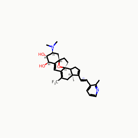 Cc1ncccc1/C=C/C1=CCC2[C@]1(C)CC(C(F)(F)F)=C1C=C3[C@@H](O)[C@H](O)[C@@H](N(C)C)C[C@]34CC[C@@]12O4